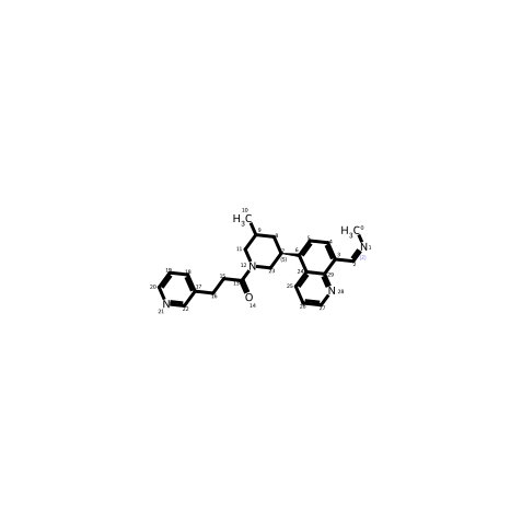 C/N=C\c1ccc([C@@H]2CC(C)CN(C(=O)CCc3cccnc3)C2)c2cccnc12